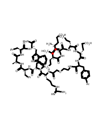 CNC(=O)[C@H](Cc1c[nH]c2ccccc12)NC(=O)[C@H](CC(C)C)NC(=O)[C@H](C)NC(=O)[C@H](CC(C)C)NC(=O)[C@@H]1CCCN1C(=O)[C@@H](CCCNC(=N)N)NC(=O)COCCNC(=O)C(Cc1ccc(C(C)=O)cc1)NC(=O)[C@@H](CCC(=O)O)NC(=O)[C@@H](CCC(=O)O)NC(=O)[C@@H](CCC(=O)O)NC(=O)[C@@H](CCC(=O)O)CC(=O)[C@H](N)CCC(=O)O